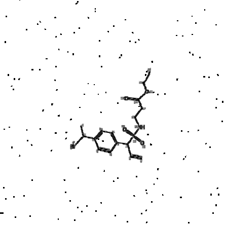 C=CC(c1ccc(C(C)Br)cc1)S(=O)(=O)NCCC(=O)OCC